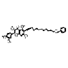 COc1ccc(-c2oc3cc(OC)c(C#CCCCCCCCCCCOCc4ccccc4)c(OC)c3c(=O)c2OC)cc1OC